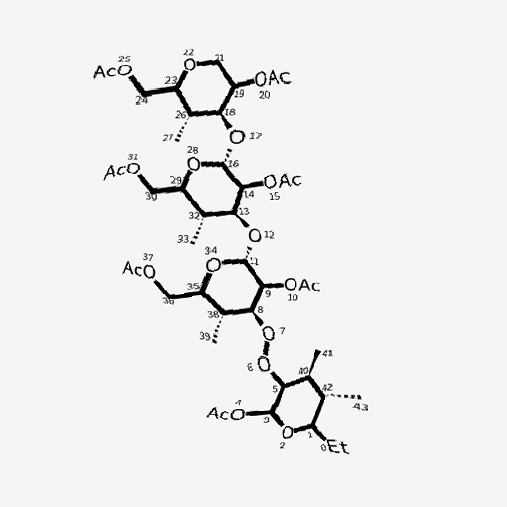 CCC1OC(OC(C)=O)C(OO[C@@H]2C(OC(C)=O)[C@@H](O[C@@H]3C(OC(C)=O)[C@@H](O[C@@H]4C(OC(C)=O)COC(COC(C)=O)[C@H]4C)OC(COC(C)=O)[C@H]3C)OC(COC(C)=O)[C@H]2C)[C@@H](C)[C@@H]1C